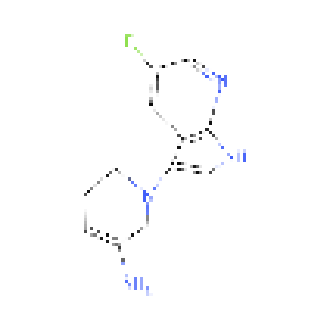 NC1=CCCN(c2c[nH]c3ncc(F)cc23)C1